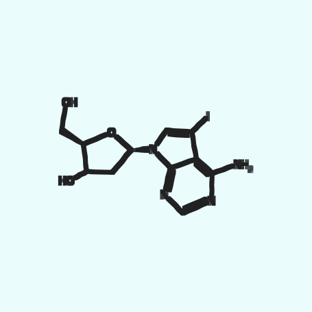 Nc1ncnc2c1c(I)cn2[C@H]1CC(O)[C@@H](CO)O1